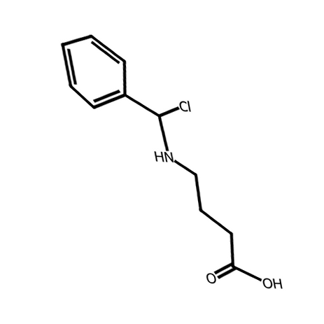 O=C(O)CCCNC(Cl)c1ccccc1